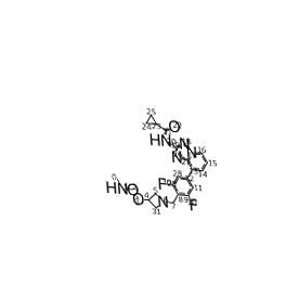 CNOOC1CN(Cc2c(F)cc(-c3cccn4nc(NC(=O)C5CC5)nc34)cc2F)C1